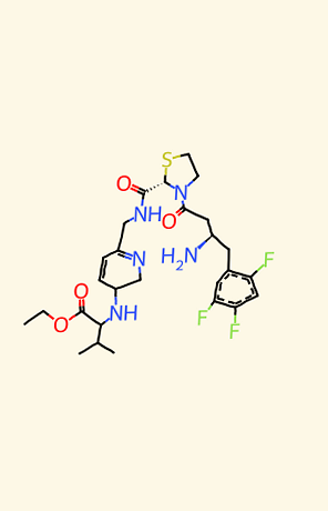 CCOC(=O)C(NC1C=CC(CNC(=O)[C@@H]2SCCN2C(=O)C[C@H](N)Cc2cc(F)c(F)cc2F)=NC1)C(C)C